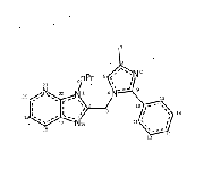 CCCn1c(Cn2cc(C)nc2-c2ccccc2)nc2cccnc21